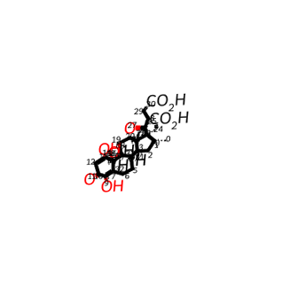 C[C@@H]1C[C@H]2[C@@H]3CCC4=C(O)C(=O)C=C(O)[C@]4(C)[C@@]34O[C@H]4C[C@]2(C)[C@@]1(CC(=O)O)C(=O)CCC(=O)O